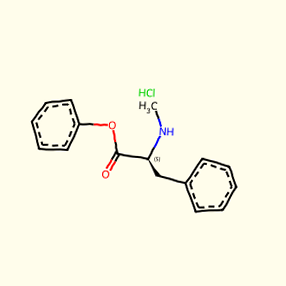 CN[C@@H](Cc1ccccc1)C(=O)Oc1ccccc1.Cl